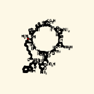 CCC(C)CCCCCCC(=O)NC(Cc1c[nH]c2ccccc12)C(=O)NC(CC(N)=O)C(=O)NC(CC(=O)O)C(=O)NC1C(=O)NCC(=O)NC(CCCN)C(=O)NC(CC(=O)O)C(=O)NC(C)C(=O)NC(CC(=O)O)C(=O)NCC(=O)NC(CC(N)=O)C(=O)NC(CCC(=O)O)C(=O)NC(C(C)CC)C(=O)OC1C